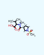 CC(C)C(C(=O)O)N(C)C(=O)[C@H]1CCN(S(C)(=O)=O)C1